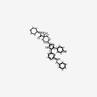 CC1(C(=O)NC2CCCCC2)COC(c2nc(-c3ccc(F)cc3)c(-c3ccnc(NCc4ccccc4)n3)[nH]2)OC1